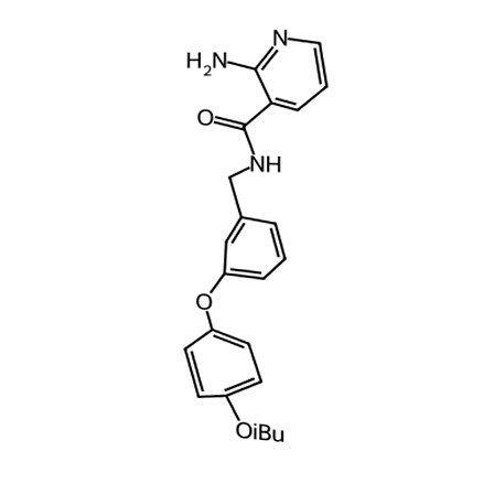 CC(C)COc1ccc(Oc2cccc(CNC(=O)c3cccnc3N)c2)cc1